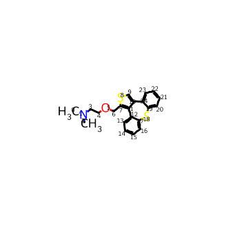 CN(C)CCOCc1scc2c1-c1ccccc1Sc1ccccc1-2